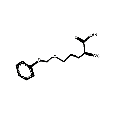 C=C(CCCOCOc1ccccc1)C(=O)O